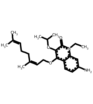 CCn1c(=O)c(OC(C)C)c(OCC=C(C)CCC=C(C)C)c2ccc(N)cc21